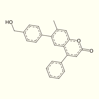 Cc1cc2oc(=O)cc(-c3ccccc3)c2cc1-c1ccc(CO)cc1